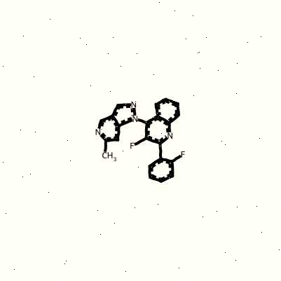 Cc1cc2c(cn1)cnn2-c1c(F)c(-c2ccccc2F)nc2ccccc12